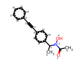 CC(=O)N(O)C(C)c1ccc(C#Cc2ccccc2)cc1